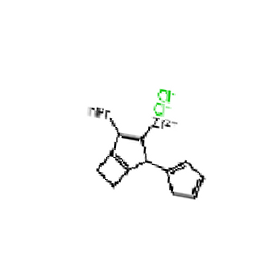 CCCC1=[C]([Zr+2])C(C2=CC=CC2)C2=C1CC2.[Cl-].[Cl-]